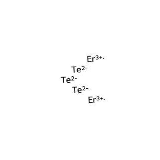 [Er+3].[Er+3].[Te-2].[Te-2].[Te-2]